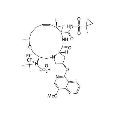 CC[C@@H]1O[C@H](C)CC/C=C\[C@@H]2C[C@@]2(C(=O)NS(=O)(=O)C2(C)CC2)NC(=O)[C@@H]2C[C@@H](Oc3ncc(OC)c4ccccc34)CN2C(=O)[C@H]1N(C(=O)O)C(C)(C)C(F)(F)F